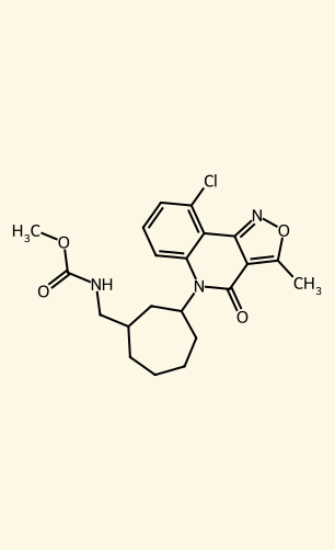 COC(=O)NCC1CCCCC(n2c(=O)c3c(C)onc3c3c(Cl)cccc32)C1